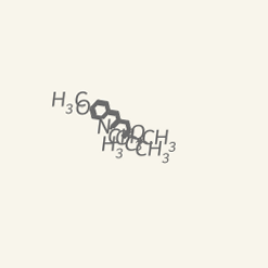 COc1ccc2cc(CC(=O)OC(C)(C)C)c(C)nc2c1